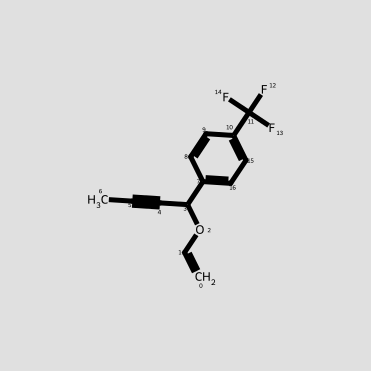 C=COC(C#CC)c1ccc(C(F)(F)F)cc1